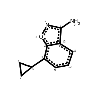 Nc1noc2c(C3CC3)cccc12